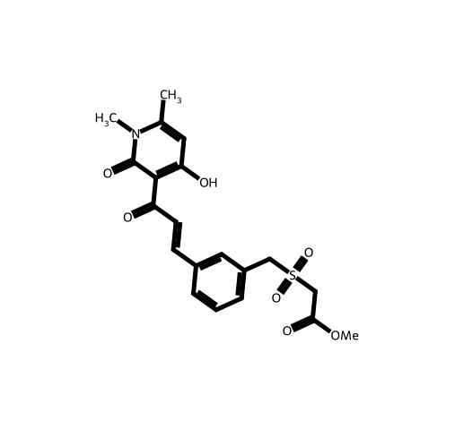 COC(=O)CS(=O)(=O)Cc1cccc(/C=C/C(=O)c2c(O)cc(C)n(C)c2=O)c1